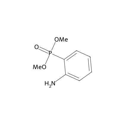 COP(=O)(OC)c1ccccc1N